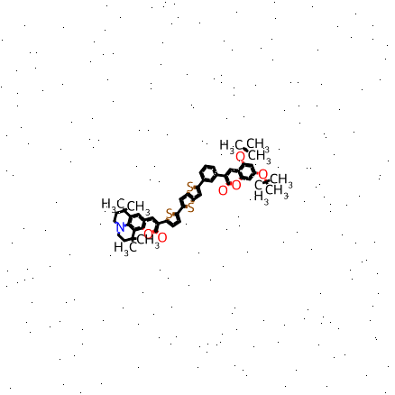 CC(C)(C)Oc1cc(OC(C)(C)C)c2cc(-c3cccc(-c4cc5sc(-c6ccc(-c7cc8cc9c%10c(c8oc7=O)C(C)(C)CCN%10CCC9(C)C)s6)cc5s4)c3)c(=O)oc2c1